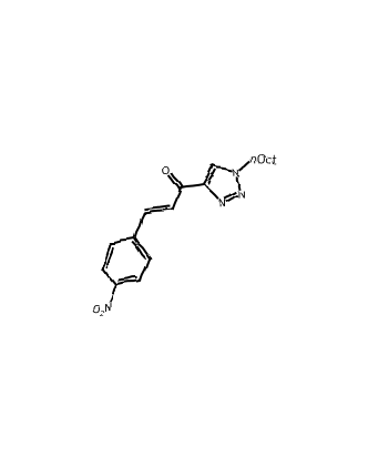 CCCCCCCCn1cc(C(=O)C=Cc2ccc([N+](=O)[O-])cc2)nn1